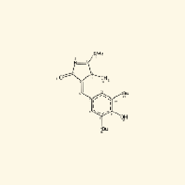 CSC1=NC(=O)C(=Cc2cc(C(C)(C)C)c(O)c(C(C)(C)C)c2)N1C